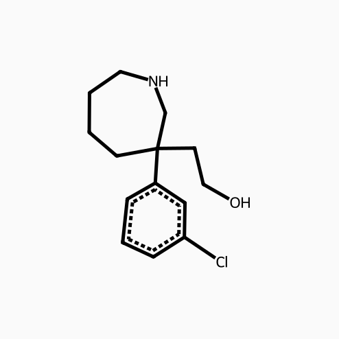 OCCC1(c2cccc(Cl)c2)CCCCNC1